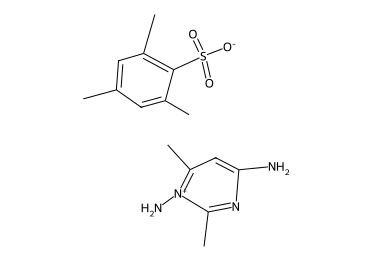 Cc1cc(C)c(S(=O)(=O)[O-])c(C)c1.Cc1cc(N)nc(C)[n+]1N